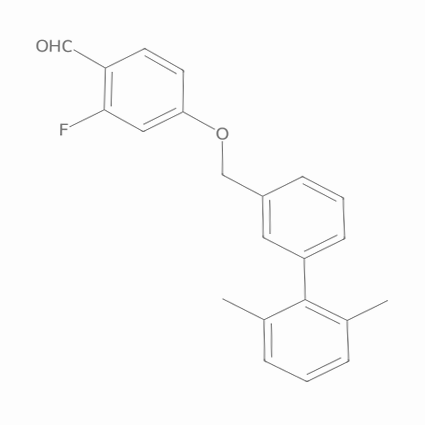 Cc1cccc(C)c1-c1cccc(COc2ccc(C=O)c(F)c2)c1